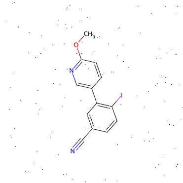 COc1ccc(-c2cc(C#N)ccc2I)cn1